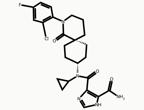 NC(=O)c1[nH]cnc1C(=O)N(C1CC1)[C@H]1CC[C@]2(CCCN(c3ccc(F)cc3Cl)C2=O)CC1